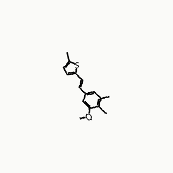 COc1cc(/C=C/c2ccc(C)s2)cc(C)c1C